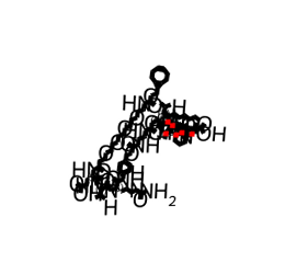 CCCCCCN(C(=O)[C@@H](NC(=O)[C@H]1CCCCN1C)[C@@H](C)CC)[C@H](C[C@@H](OC(=O)NCCNC(=O)OCc1ccc(NC(=O)[C@H](CCCNC(N)=O)NC(=O)[C@@H](NC(=O)[C@H](CCC(=O)O)NC(=O)CCOCCOCCOCCOCCNC(=O)OCC2C3CCC#CCCC32)C(C)C)cc1)c1nc(C(=O)NC(C)CC(C)(C)C(=O)O)cs1)C(C)C